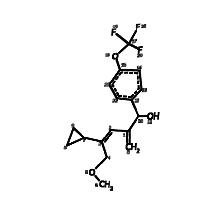 C=C(/C=C(\COC)C1CC1)C(O)c1ccc(OC(F)(F)F)cc1